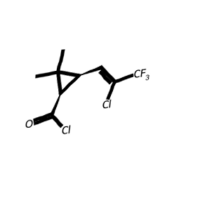 CC1(C)[C@H](C(=O)Cl)[C@@H]1/C=C(\Cl)C(F)(F)F